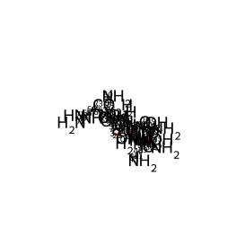 COc1ccc(C[C@H](NC(=O)[C@@H]2CCCN2C(=O)[C@@H](CCCN)NC(=O)CNC(=O)[C@@H](NC(=O)[C@@H](NC(=O)[C@@H](N)CCCCN)[C@@H](O)CN)[C@@H](O)CN)C(=O)N[C@@H](CCCCN)C(=O)CC/C(=C\CCNC(=N)N)C(=O)O)cc1OC